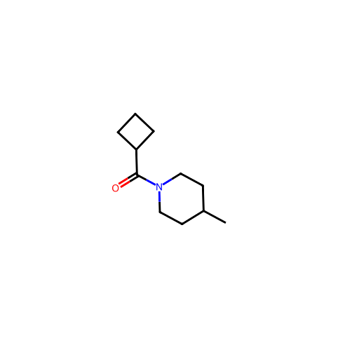 CC1CCN(C(=O)C2CCC2)CC1